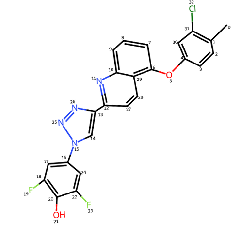 Cc1ccc(Oc2cccc3nc(-c4cn(-c5cc(F)c(O)c(F)c5)nn4)ccc23)cc1Cl